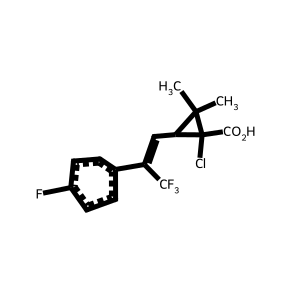 CC1(C)C(C=C(c2ccc(F)cc2)C(F)(F)F)C1(Cl)C(=O)O